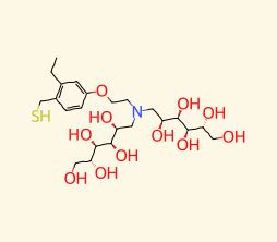 CCc1cc(OCCN(C[C@H](O)[C@@H](O)[C@H](O)[C@H](O)CO)C[C@H](O)[C@@H](O)[C@H](O)[C@H](O)CO)ccc1CS